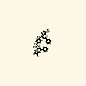 CBc1cnn2c(Nc3ccc(S(=O)(=O)Nc4cc(-c5ccccc5)nc5c(C)cnn45)cc3)cc(-c3ccccc3)nc12